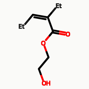 CCC=C(CC)C(=O)OCCO